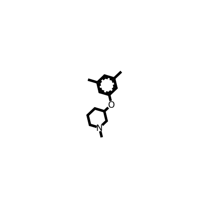 Cc1cc(C)cc(OC2CCCN(C)C2)c1